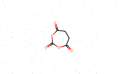 O=C1CCC(=O)OC(=O)O1